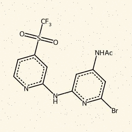 CC(=O)Nc1cc(Br)nc(Nc2cc(S(=O)(=O)C(F)(F)F)ccn2)c1